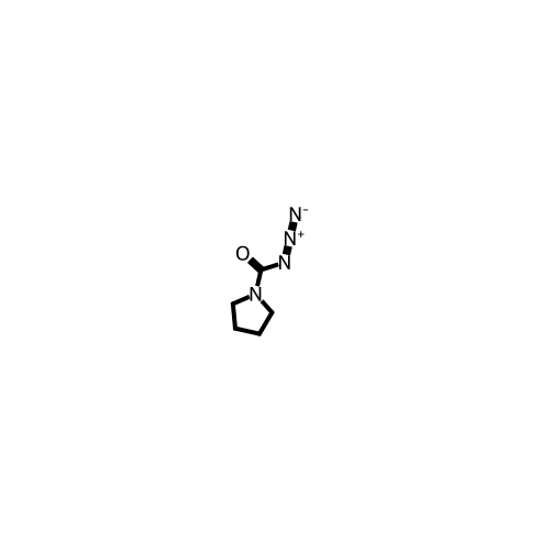 [N-]=[N+]=NC(=O)N1CCCC1